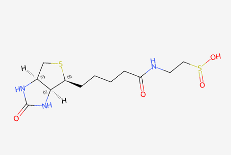 O=C(CCCC[C@@H]1SC[C@@H]2NC(=O)N[C@@H]21)NCCS(=O)O